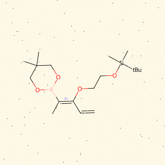 C=C/C(OCCO[Si](C)(C)C(C)(C)C)=C(\C)B1OCC(C)(C)CO1